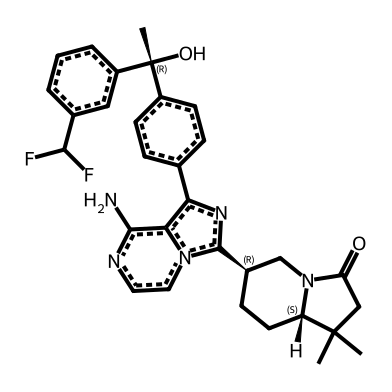 CC1(C)CC(=O)N2C[C@H](c3nc(-c4ccc([C@@](C)(O)c5cccc(C(F)F)c5)cc4)c4c(N)nccn34)CC[C@H]21